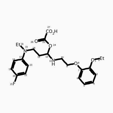 CCOc1ccccc1OCCNC(CCN(CC)c1ccc(F)cc1)OC(=O)C(=O)O